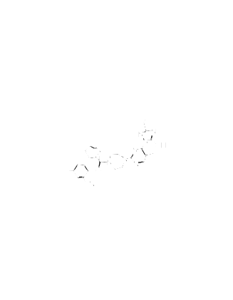 Cc1nc(CF)nn1-c1nc(N2CCN(C(=O)N3N=CC[C@H]3c3cc(F)cc(C#N)c3)CC2)ncc1F